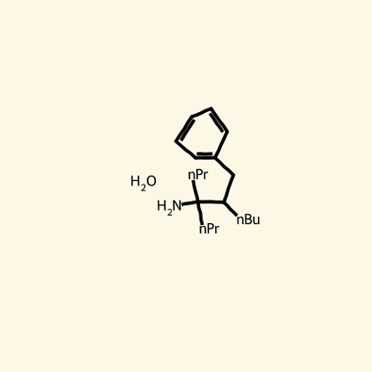 CCCCC(Cc1ccccc1)C(N)(CCC)CCC.O